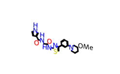 COC1CCCN(c2cccc(-c3csc(NC(=O)CNC(=O)c4cc[nH]c4)n3)c2)C1